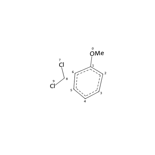 COc1ccccc1.ClCCl